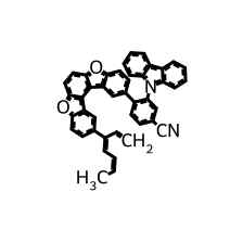 C=C/C(=C\C=C/C)c1ccc2oc3ccc4oc5ccc(-c6ccc(C#N)cc6-n6c7ccccc7c7ccccc76)cc5c4c3c2c1